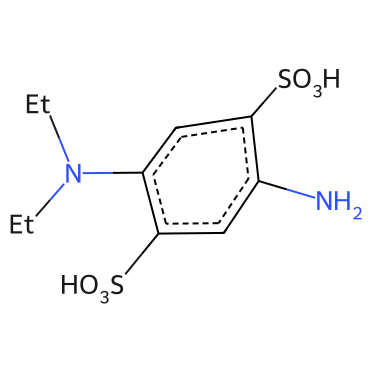 CCN(CC)c1cc(S(=O)(=O)O)c(N)cc1S(=O)(=O)O